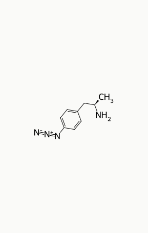 C[C@@H](N)Cc1ccc(N=[N+]=[N-])cc1